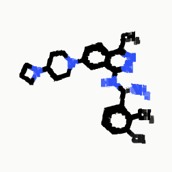 Cc1c(C#N)cccc1[C@@H](N)Nc1nnc(C)c2ccc(N3CCC(N4CCC4)CC3)cc12